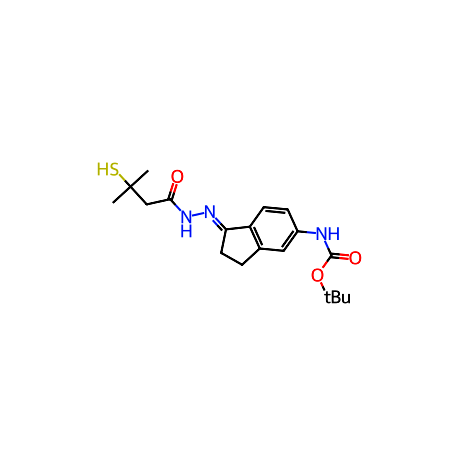 CC(C)(S)CC(=O)NN=C1CCc2cc(NC(=O)OC(C)(C)C)ccc21